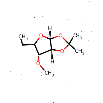 CC[C@H]1O[C@@H]2OC(C)(C)O[C@@H]2[C@H]1OC